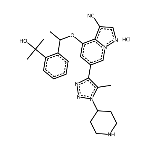 Cc1c(-c2cc(OC(C)c3ccccc3C(C)(C)O)c3c(C#N)cnn3c2)nnn1C1CCNCC1.Cl